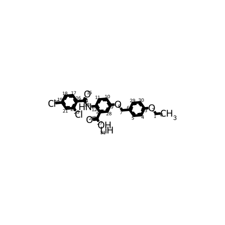 CCOc1ccc(COc2ccc(NC(=O)c3ccc(Cl)cc3Cl)c(C(=O)O)c2)cc1.[LiH]